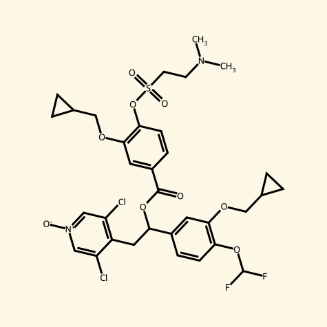 CN(C)CCS(=O)(=O)Oc1ccc(C(=O)OC(Cc2c(Cl)c[n+]([O-])cc2Cl)c2ccc(OC(F)F)c(OCC3CC3)c2)cc1OCC1CC1